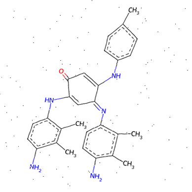 Cc1ccc(NC2=CC(=O)C(Nc3ccc(N)c(C)c3C)=CC2=Nc2ccc(N)c(C)c2C)cc1